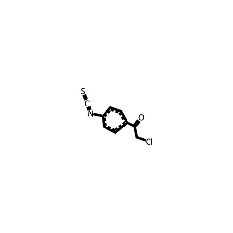 O=C(CCl)c1ccc(N=C=S)cc1